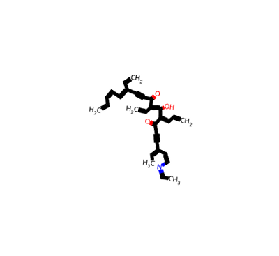 C=C/C=C\C=C(\C#CC(=O)/C(C=C)=C(O)/C(=C\C=C)C(=O)C#CC(/C=C\N=C/C)=C/C)C=C